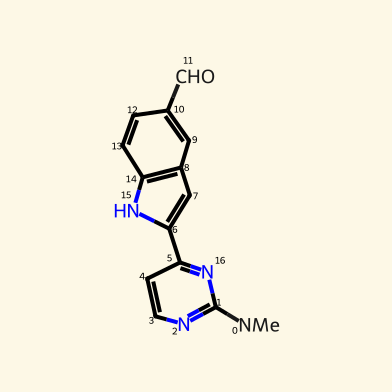 CNc1nccc(-c2cc3cc(C=O)ccc3[nH]2)n1